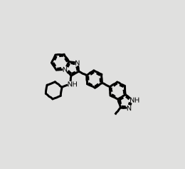 Cc1n[nH]c2ccc(-c3ccc(-c4nc5ccccn5c4NC4CCCCC4)cc3)cc12